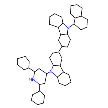 C1CCC(C2CC(N3C4CCCCC4C4CC(C5CCC6C(C5)C5CCCCC5N6C5CCCC6CCCCC65)CCC43)CC(C3CCCCC3)N2)CC1